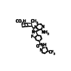 CC1C2C3C4C(CC24C(=O)O)C13c1nc(-c2ccc(C(=O)Nc3cc(C(F)(F)F)ccn3)cc2F)c2c(N)nccn12